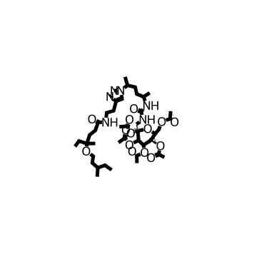 CCC(C)CCOC(C)(CC)CCC(=O)NCCc1cn(C(C)CCC(C)NC(=O)NC[C@]2(OC(C)=O)OC(COC(C)=O)[C@@H](OC(C)=O)C(OC(C)=O)C2OC(C)=O)nn1